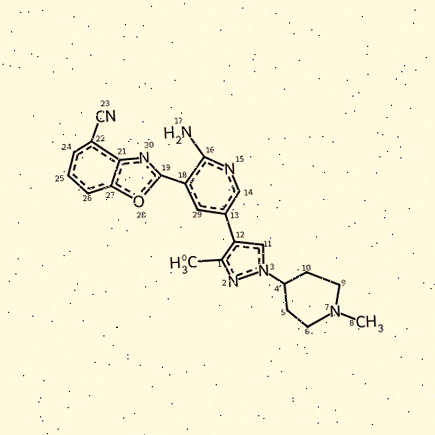 Cc1nn(C2CCN(C)CC2)cc1-c1cnc(N)c(-c2nc3c(C#N)cccc3o2)c1